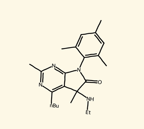 CCCCc1nc(C)nc2c1C(C)(NCC)C(=O)N2c1c(C)cc(C)cc1C